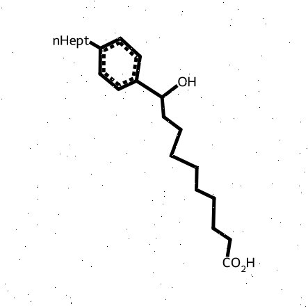 CCCCCCCc1ccc(C(O)CCCCCCCCC(=O)O)cc1